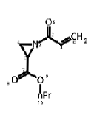 C=CC(=O)N1CC1C(=O)OCCC